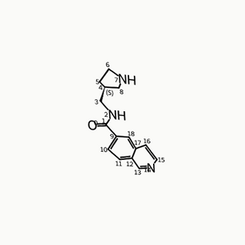 O=C(NC[C@H]1CCNC1)c1ccc2cnccc2c1